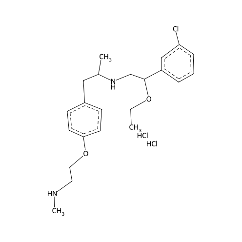 CCOC(CNC(C)Cc1ccc(OCCNC)cc1)c1cccc(Cl)c1.Cl.Cl